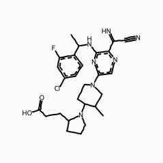 CC(Nc1nc(N2CCC(N3CCCC3CCC(=O)O)C(C)C2)cnc1C(=N)C#N)c1ccc(Cl)cc1F